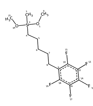 CO[Si](C)(CCCCCc1c(F)c(F)c(F)c(F)c1F)OC